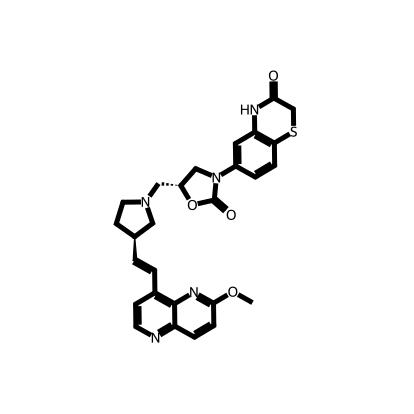 COc1ccc2nccc(C=C[C@H]3CCN(C[C@@H]4CN(c5ccc6c(c5)NC(=O)CS6)C(=O)O4)C3)c2n1